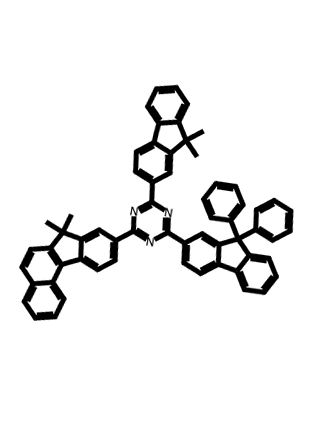 CC1(C)c2ccccc2-c2ccc(-c3nc(-c4ccc5c(c4)C(C)(C)c4ccc6ccccc6c4-5)nc(-c4ccc5c(c4)C(c4ccccc4)(c4ccccc4)c4ccccc4-5)n3)cc21